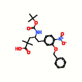 CC(C)(C)OC(=O)NC(Cc1ccc([N+](=O)[O-])c(OCc2ccccc2)c1)CC(C)(C)C(=O)O